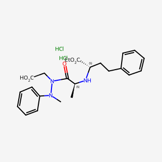 CCOC(=O)[C@H](CCc1ccccc1)N[C@@H](C)C(=O)N(CC(=O)O)N(C)c1ccccc1.Cl.Cl